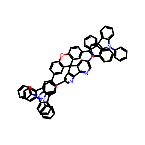 c1ccc(-n2c3ccccc3c3cc(-c4ccc5c(c4)C4(c6cc(-c7ccc8c(c7)c7ccccc7n8-c7ccccc7)ccc6O5)c5cc(-c6ccc7c(c6)c6ccccc6n7-c6ccccc6)cnc5-c5ncc(-n6c7ccccc7c7ccccc76)cc54)ccc32)cc1